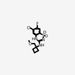 COCC1(NC2=NS(=O)(=O)c3cc(F)c(Cl)cc3N2)CCC1